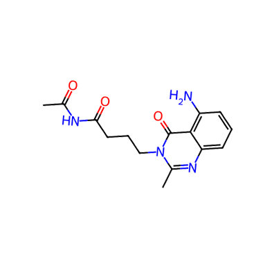 CC(=O)NC(=O)CCCn1c(C)nc2cccc(N)c2c1=O